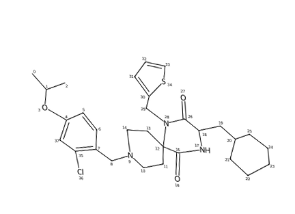 CC(C)Oc1ccc(CN2CCC3(CC2)C(=O)NC(CC2CCCCC2)C(=O)N3Cc2cccs2)c(Cl)c1